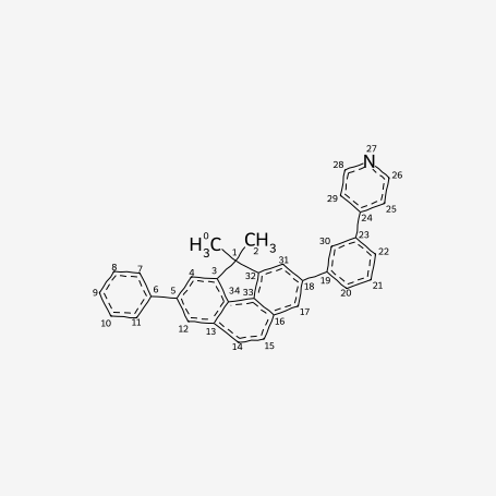 CC1(C)c2cc(-c3ccccc3)cc3ccc4cc(-c5cccc(-c6ccncc6)c5)cc1c4c23